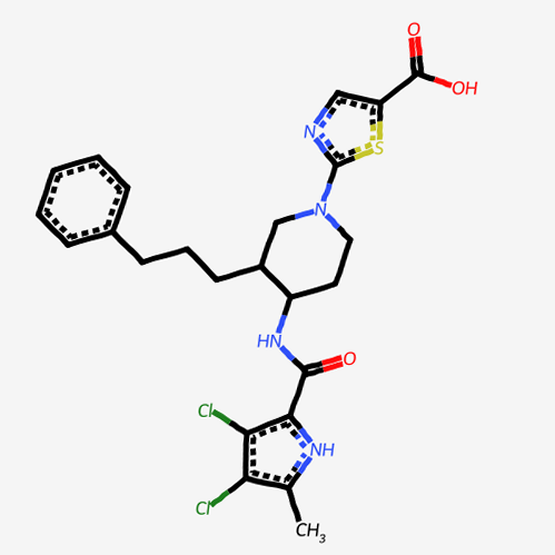 Cc1[nH]c(C(=O)NC2CCN(c3ncc(C(=O)O)s3)CC2CCCc2ccccc2)c(Cl)c1Cl